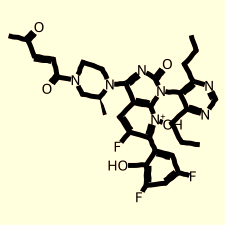 CCCc1ncnc(CCC)c1-n1c(=O)nc(N2CCN(C(=O)/C=C/C(C)=O)C[C@@H]2C)c2cc(F)c(-c3cc(F)cc(F)c3O)[n+](O)c21